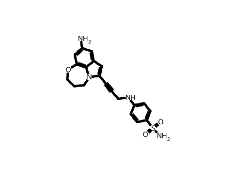 Nc1cc2c3c(c1)cc(C#CCNc1ccc(S(N)(=O)=O)cc1)n3CCCO2